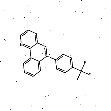 FC(F)(F)c1ccc(-c2cc3cccnc3c3ccccc23)cc1